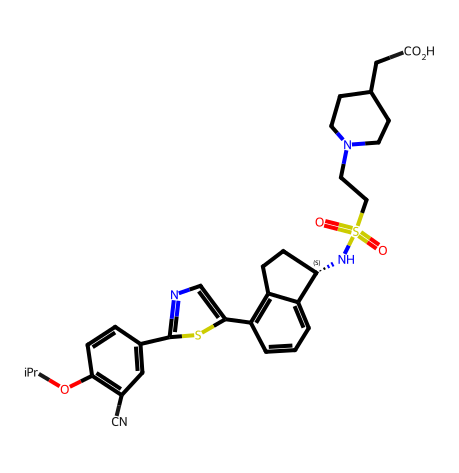 CC(C)Oc1ccc(-c2ncc(-c3cccc4c3CC[C@@H]4NS(=O)(=O)CCN3CCC(CC(=O)O)CC3)s2)cc1C#N